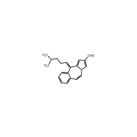 CN(C)CC/C=C1\c2ccccc2C=Cn2cc(C=O)cc21